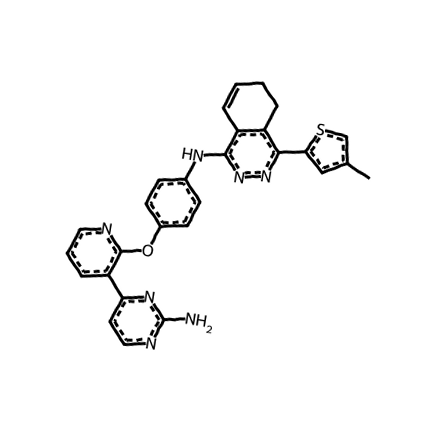 Cc1csc(-c2nnc(Nc3ccc(Oc4ncccc4-c4ccnc(N)n4)cc3)c3c2CCC=C3)c1